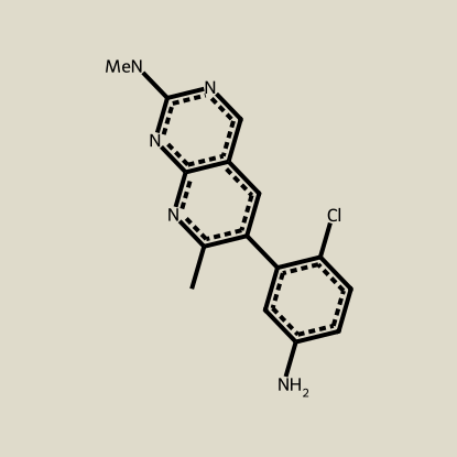 CNc1ncc2cc(-c3cc(N)ccc3Cl)c(C)nc2n1